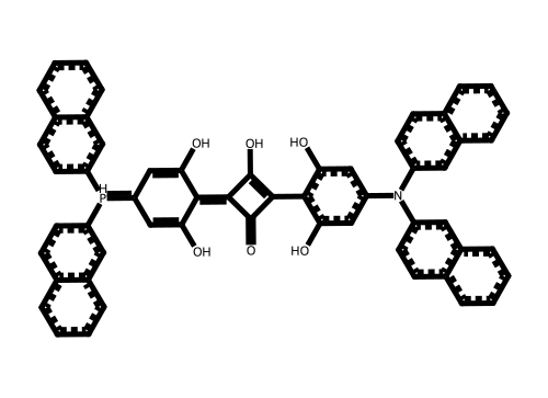 O=C1C(=C2C(O)=CC(=[PH](c3ccc4ccccc4c3)c3ccc4ccccc4c3)C=C2O)C(O)=C1c1c(O)cc(N(c2ccc3ccccc3c2)c2ccc3ccccc3c2)cc1O